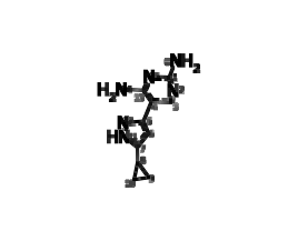 Nc1ncc(-c2cc(C3CC3)[nH]n2)c(N)n1